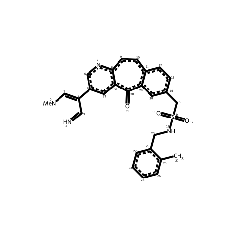 CN/C=C(\C=N)c1cnc2ccc3ccc(CS(=O)(=O)NCc4ccccc4C)cc3c(=O)c2c1